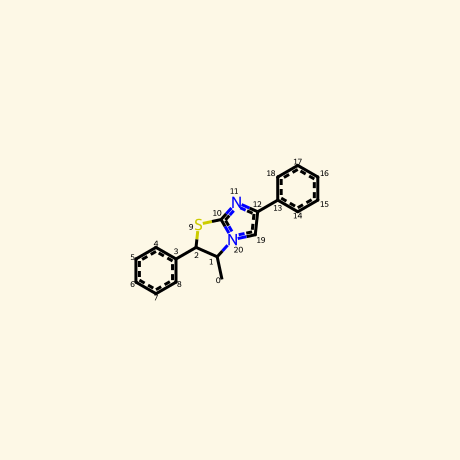 CC1C(c2ccccc2)Sc2nc(-c3ccccc3)cn21